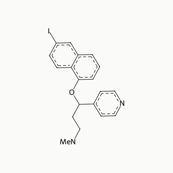 CNCCC(Oc1cccc2cc(I)ccc12)c1ccncc1